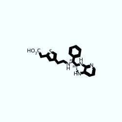 O=C(O)Cc1cc(CCN[C@H](c2ccccc2)[C@H]2CNc3cccnc3N2)cs1